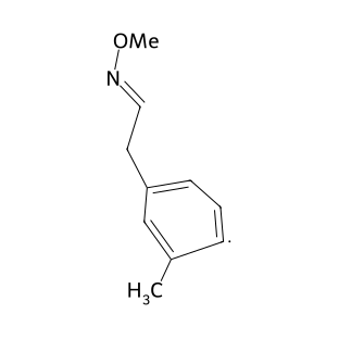 CON=CCc1cc[c]c(C)c1